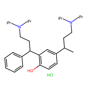 CC(CCN(C(C)C)C(C)C)c1ccc(O)c(C(CCN(C(C)C)C(C)C)c2ccccc2)c1.Cl